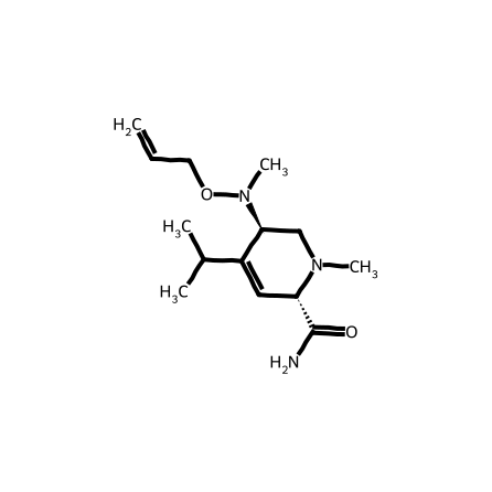 C=CCON(C)[C@H]1CN(C)[C@H](C(N)=O)C=C1C(C)C